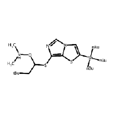 CCC[CH2][Sn]([CH2]CCC)([CH2]CCC)[c]1cn2cnc(SC(CC(C)(C)C)O[SiH](C)C)c2s1